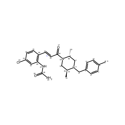 C[C@@H]1CN(Cc2ccc(F)cc2)[C@@H](C)CN1C(=O)/C=C/c1ccc(Cl)cc1NC(N)=O